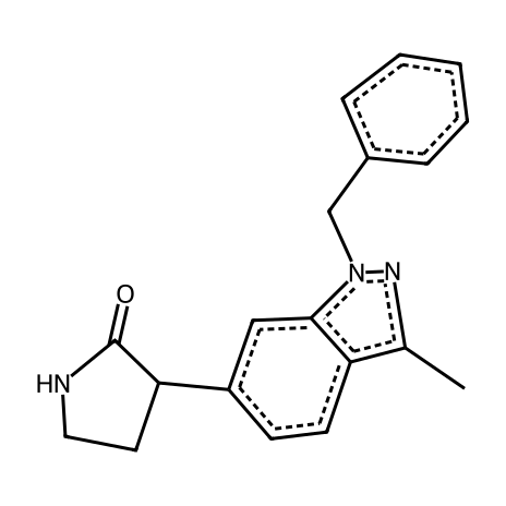 Cc1nn(Cc2ccccc2)c2cc(C3CCNC3=O)ccc12